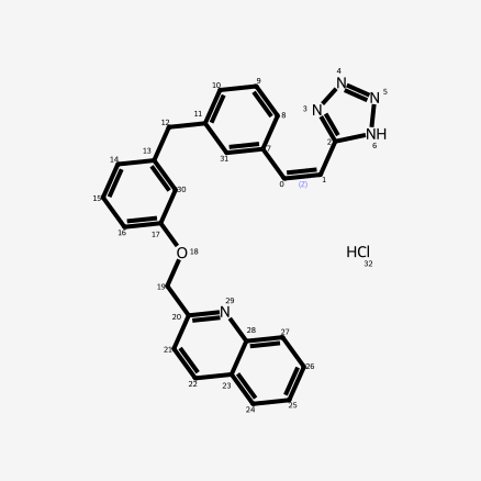 C(=C/c1nnn[nH]1)/c1cccc(Cc2cccc(OCc3ccc4ccccc4n3)c2)c1.Cl